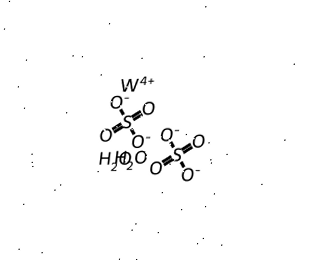 O.O.O=S(=O)([O-])[O-].O=S(=O)([O-])[O-].[W+4]